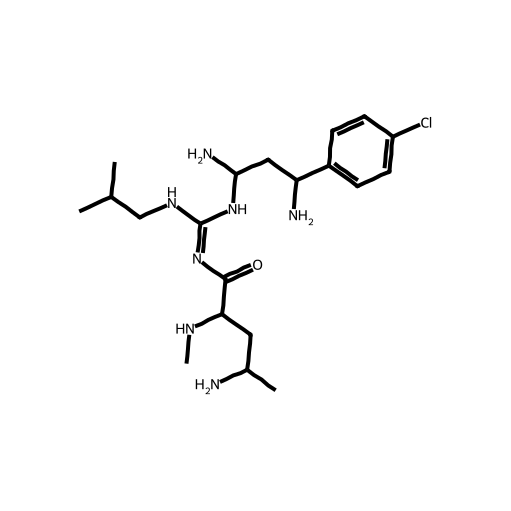 CNC(CC(C)N)C(=O)/N=C(/NCC(C)C)NC(N)CC(N)c1ccc(Cl)cc1